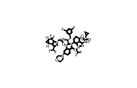 O=C(Cn1nc(C(F)F)c2c1C(F)(F)[C@@H]1C[C@H]21)N[C@@H](Cc1cc(F)cc(F)c1)c1nc2cc(N3CCOCC3)ccc2c(=O)n1-c1ccc(Cl)c2c(NS(=O)(=O)C3CC3)nn(CC(F)F)c12